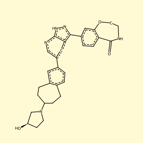 O=C1NCCOc2cc(-c3n[nH]c4ncc(-c5ccc6c(c5)CCC(N5CC[C@@H](O)C5)CC6)cc34)ccc21